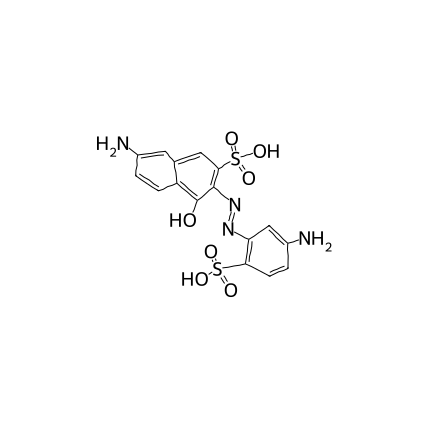 Nc1ccc(S(=O)(=O)O)c(N=Nc2c(S(=O)(=O)O)cc3cc(N)ccc3c2O)c1